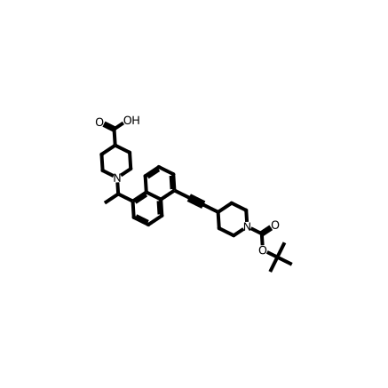 CC(c1cccc2c(C#CC3CCN(C(=O)OC(C)(C)C)CC3)cccc12)N1CCC(C(=O)O)CC1